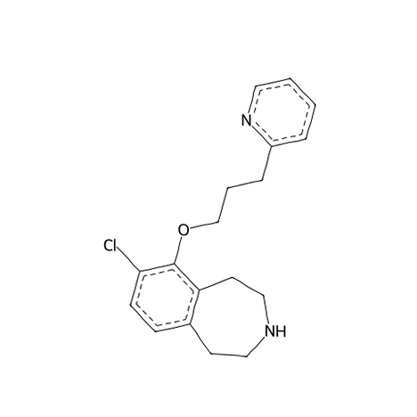 Clc1ccc2c(c1OCCCc1ccccn1)CCNCC2